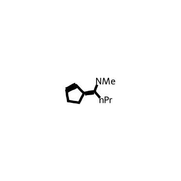 CCC/C(NC)=C1/C#CCC1